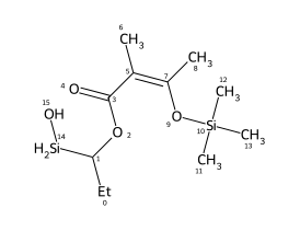 CCC(OC(=O)C(C)=C(C)O[Si](C)(C)C)[SiH2]O